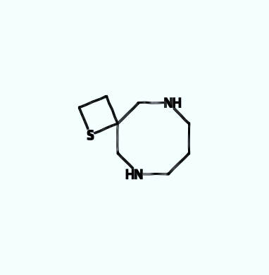 C1CNCC2(CCS2)CNC1